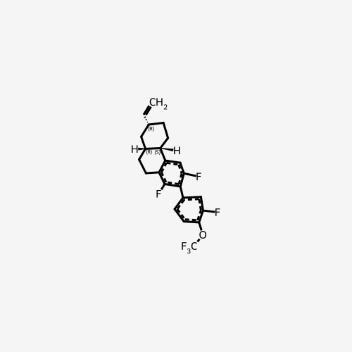 C=C[C@@H]1CC[C@@H]2c3cc(F)c(-c4ccc(OC(F)(F)F)c(F)c4)c(F)c3CC[C@@H]2C1